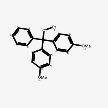 [CH2]COC(c1ccccc1)(c1ccc(OC)cc1)c1ccc(OC)cc1